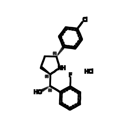 Cl.O[C@@H](c1ccccc1F)[C@H]1CC[C@H](c2ccc(Cl)cc2)N1